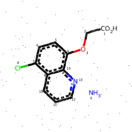 N.O=C(O)COc1ccc(Cl)c2cccnc12